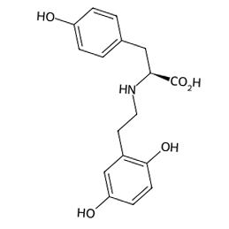 O=C(O)[C@H](Cc1ccc(O)cc1)NCCc1cc(O)ccc1O